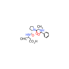 C[C@H](NC(=O)c1ccccc1)C(=O)N1CCC[C@H]1C(=O)N[C@H](C=O)CC(=O)O